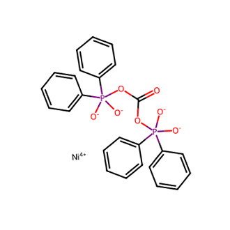 O=C(OP([O-])([O-])(c1ccccc1)c1ccccc1)OP([O-])([O-])(c1ccccc1)c1ccccc1.[Ni+4]